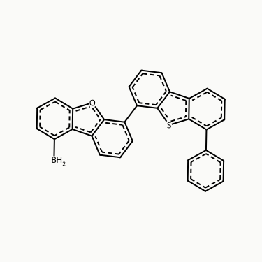 Bc1cccc2oc3c(-c4cccc5c4sc4c(-c6ccccc6)cccc45)cccc3c12